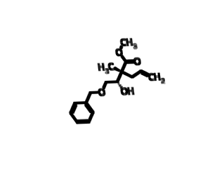 C=CC[C@@](C)(C(=O)OC)[C@H](O)COCc1ccccc1